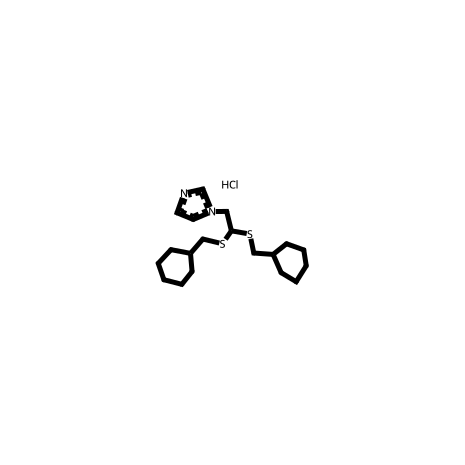 Cl.c1cn(CC(SCC2CCCCC2)SCC2CCCCC2)cn1